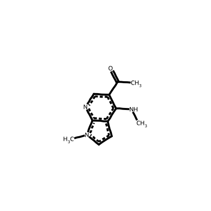 CNc1c(C(C)=O)cnc2c1ccn2C